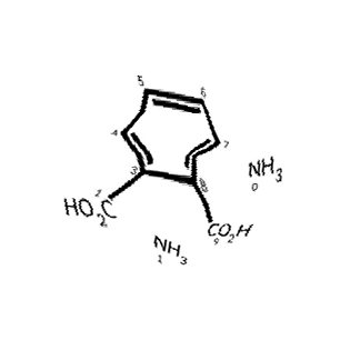 N.N.O=C(O)c1ccccc1C(=O)O